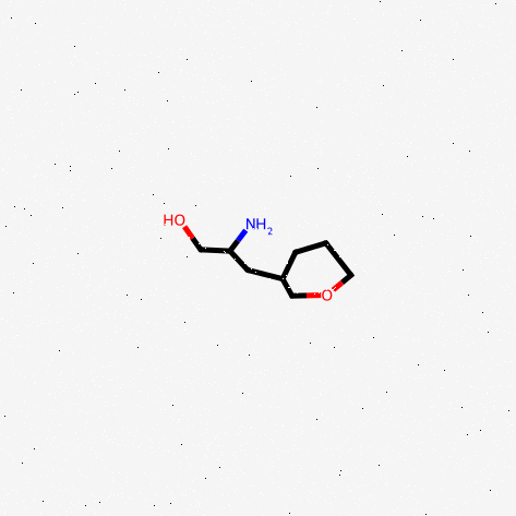 NC(CO)CC1CCCOC1